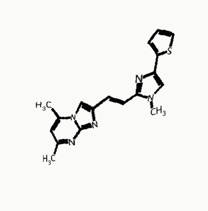 Cc1cc(C)n2cc(C=Cc3nc(-c4cccs4)cn3C)nc2n1